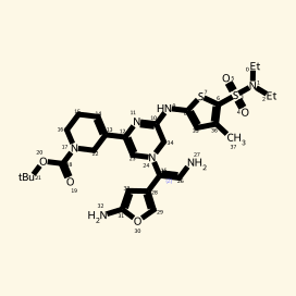 CCN(CC)S(=O)(=O)c1sc(NC2=NC(C3=CCCN(C(=O)OC(C)(C)C)C3)=CN(/C(=C\N)c3coc(N)c3)C2)cc1C